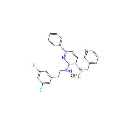 O=CN(Cc1cccnc1)c1ccc(-c2ccccc2)nc1NCCc1cc(F)cc(F)c1